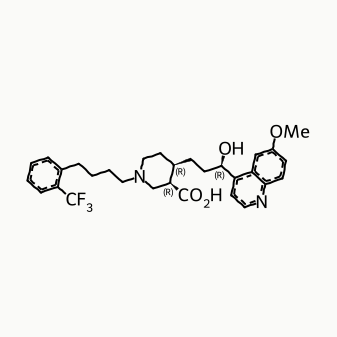 COc1ccc2nccc([C@H](O)CC[C@@H]3CCN(CCCCc4ccccc4C(F)(F)F)C[C@@H]3C(=O)O)c2c1